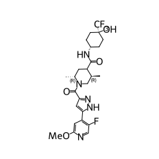 COc1cc(-c2cc(C(=O)N3C[C@H](C)C(C(=O)N[C@H]4CC[C@@](O)(C(F)(F)F)CC4)C[C@H]3C)n[nH]2)c(F)cn1